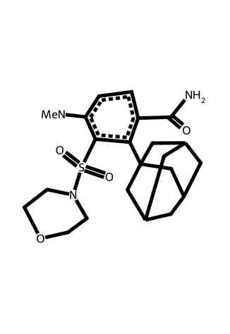 CNc1ccc(C(N)=O)c(C23CC4CC(CC(C4)C2)C3)c1S(=O)(=O)N1CCOCC1